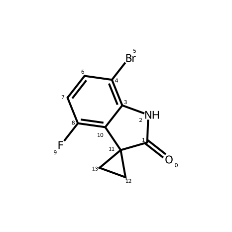 O=C1Nc2c(Br)ccc(F)c2C12CC2